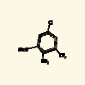 COc1cc(Cl)cc(C(F)(F)F)c1N